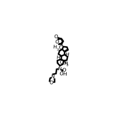 C[C@]12CC[C@H](N(CCCN3CCOCC3)C(=O)O)C[C@H]1CC[C@H]1C3=CC[C@H](c4ccc(=O)oc4)[C@@]3(C)CC[C@@H]12